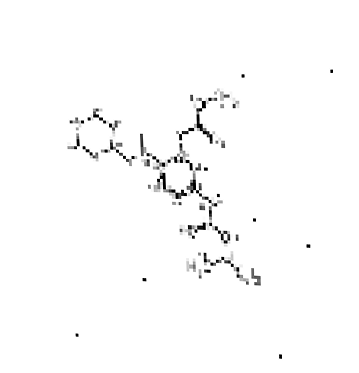 COC(=O)Cc1cc(NC(=O)OC(C)C)cnc1NCC1CCCCC1